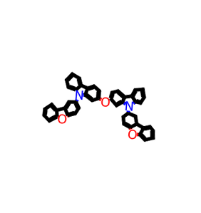 C1=C2Oc3ccccc3C2CC(n2c3ccccc3c3ccc(Oc4ccc5c6ccccc6n(-c6ccc7oc8ccccc8c7c6)c5c4)cc32)C1